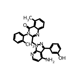 Cc1ccccc1-n1c(Cn2nc(-c3cccc(O)c3)c3c(N)ccnc32)nc2cccc(C)c2c1=O